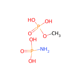 COP(=O)(O)O.NP(=O)(O)O